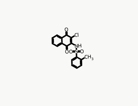 Cc1ccccc1S(=O)(=O)NC1=C(Cl)C(=O)c2ccccc2C1=O